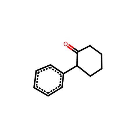 O=C1[CH]CCCC1c1ccccc1